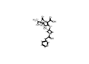 C[C@@H](O)[C@H]1C(=O)N2C(C(=O)O)=C(SC3CN(C(=N)Cc4cccnc4)C3)[C@H](C)[C@H]12